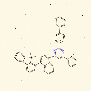 CC1(C)c2ccccc2-c2cccc(-c3ccc(-c4cc(-c5ccccc5)nc(-c5ccc(-c6ccccc6)cc5)n4)c4ccccc34)c21